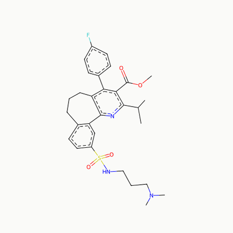 COC(=O)c1c(C(C)C)nc2c(c1-c1ccc(F)cc1)CCCc1ccc(S(=O)(=O)NCCCN(C)C)cc1-2